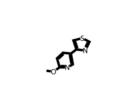 COc1ccc(-c2cscn2)cn1